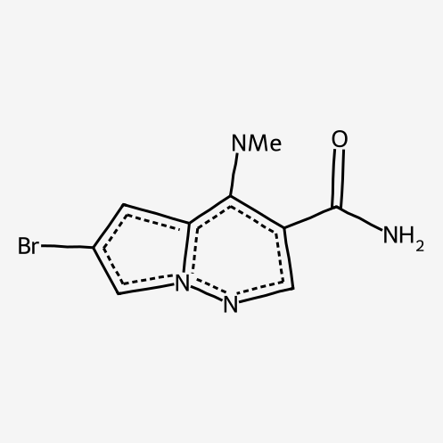 CNc1c(C(N)=O)cnn2cc(Br)cc12